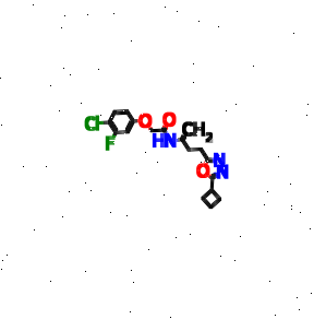 C=C(CCc1nnc(C2CCC2)o1)NC(=O)COc1ccc(Cl)c(F)c1